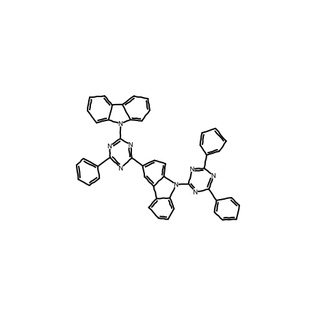 c1ccc(-c2nc(-c3ccc4c(c3)c3ccccc3n4-c3nc(-c4ccccc4)nc(-c4ccccc4)n3)nc(-n3c4ccccc4c4ccccc43)n2)cc1